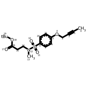 CC#CCOc1ccc(S(=O)(=O)N(C)CCC(=O)OC(C)(C)C)cc1